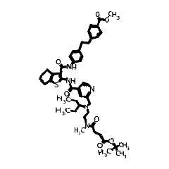 CCC(CC)N(CCN(C)C(=O)CCC(=O)OC(C)(C)C)Cc1cc(C(=O)Nc2sc3c(c2C(=O)Nc2ccc(CCc4ccc(C(=O)OC)cc4)cc2)CCCC3)ccn1